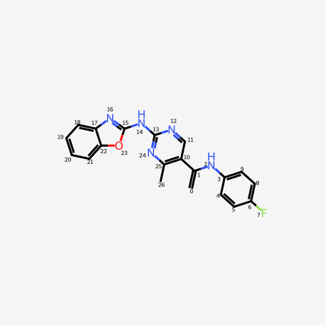 C=C(Nc1ccc(F)cc1)c1cnc(Nc2nc3ccccc3o2)nc1C